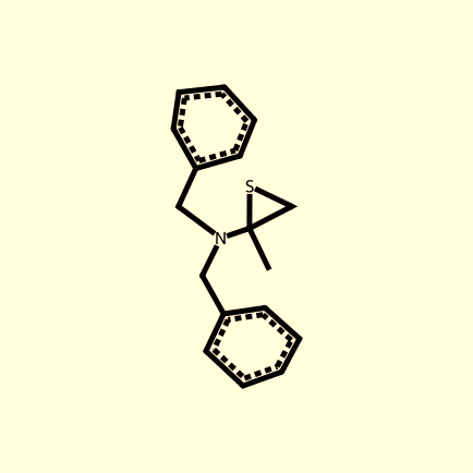 CC1(N(Cc2ccccc2)Cc2ccccc2)CS1